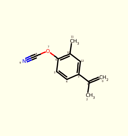 C=C(C)c1ccc(OC#N)c(C)c1